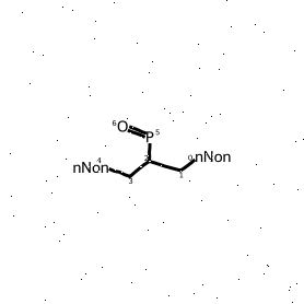 CCCCCCCCCCC(CCCCCCCCCC)P=O